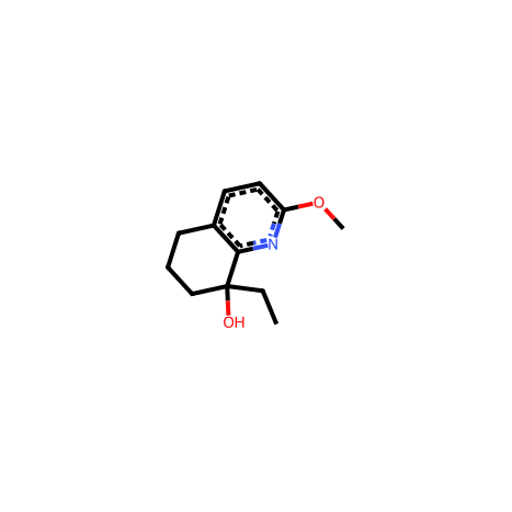 CCC1(O)CCCc2ccc(OC)nc21